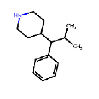 CC(C)C(c1ccccc1)C1CCNCC1